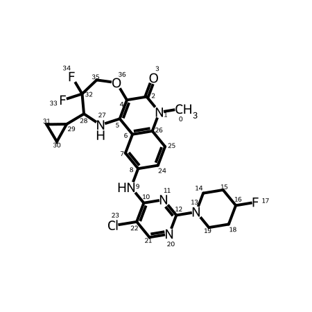 Cn1c(=O)c2c(c3cc(Nc4nc(N5CCC(F)CC5)ncc4Cl)ccc31)NC(C1CC1)C(F)(F)CO2